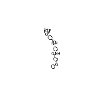 CC(F)(F)C(F)(F)Oc1ccc(-n2cnc(-c3ccc(NC(=O)c4ccc(Oc5ccccc5)cc4)cc3)n2)cc1